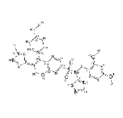 COc1ccc(CN(c2ncns2)S(=O)(=O)c2ccc3c(c2)OCCC3N2CC[C@@H](CF)C[C@H]2c2ccnn2C)c(OC)c1